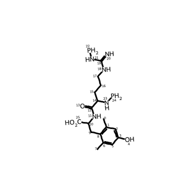 Cc1cc(O)cc(C)c1CC(NC(=O)C(CCCNC(=N)NP)NP)C(=O)O